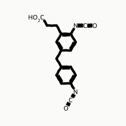 O=C=Nc1ccc(Cc2ccc(N=C=O)c(CCC(=O)O)c2)cc1